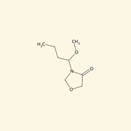 CCCC(OC)N1COCC1=O